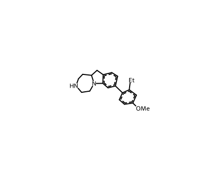 CCc1cc(OC)ccc1-c1ccc2c(c1)N1CCNCCC1C2